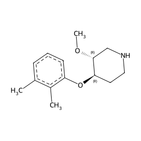 CO[C@@H]1CNCC[C@H]1Oc1cccc(C)c1C